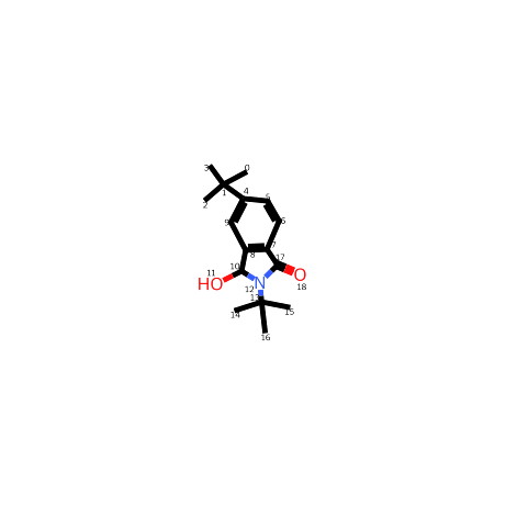 CC(C)(C)c1ccc2c(c1)C(O)N(C(C)(C)C)C2=O